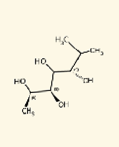 CC(C)[C@H](O)C(O)[C@@H](O)[C@@H](C)O